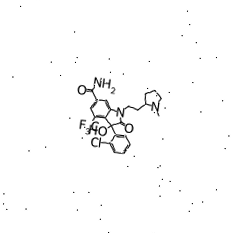 CN1CCCC1CCN1C(=O)C(O)(c2ccccc2Cl)c2c1cc(C(N)=O)cc2C(F)(F)F